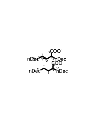 CCCCCCCCCCCCC(CCCCCCCCCC)C(=O)[O-].CCCCCCCCCCCCC(CCCCCCCCCC)C(=O)[O-].[SnH2+2]